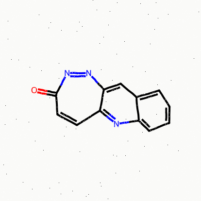 O=c1ccc2nc3ccccc3cc2nn1